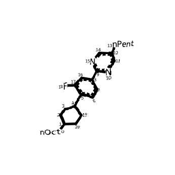 CCCCCCCCC1CCC(c2ccc(-c3ncc(CCCCC)cn3)cc2F)CC1